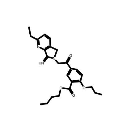 CCCCOC(=O)c1cc(C(=O)CN2Cc3ccc(CC)nc3C2=N)ccc1OCCC